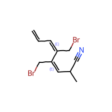 C=C/C=C(CBr)\C(=C/C(C)C#N)CBr